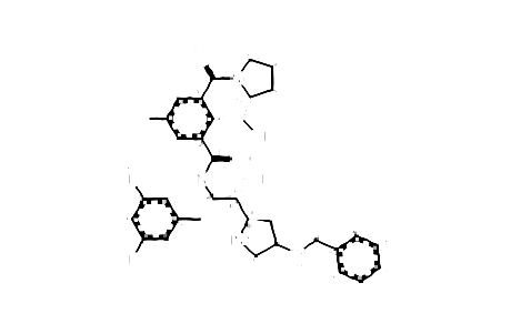 CC[C@H]1CCCN1C(=O)c1cc(C)cc(C(=O)N[C@@H](Cc2cc(F)cc(F)c2)[C@H](O)[C@H]2CC(OCc3ccccc3)CN2)c1